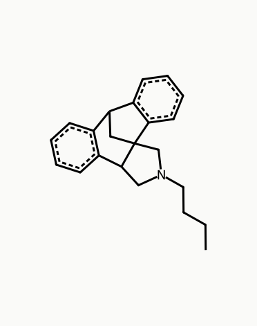 CCCCN1CC2c3ccccc3C3CC2(C1)c1ccccc13